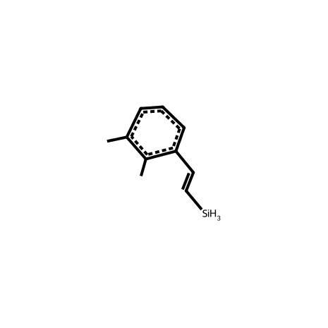 Cc1cccc(C=C[SiH3])c1C